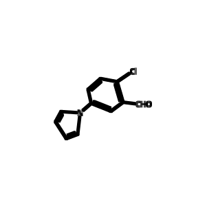 O=Cc1cc(-n2cccc2)ccc1Cl